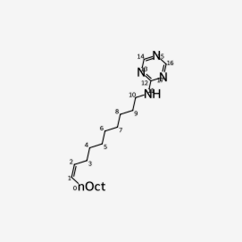 CCCCCCCC/C=C\CCCCCCCCNc1ncncn1